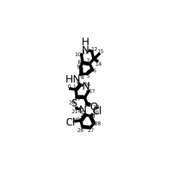 Cc1c(Nc2ccc3c(c2)CNCC3(C)C)ncc2c1SCN(c1c(Cl)cccc1Cl)C2=O